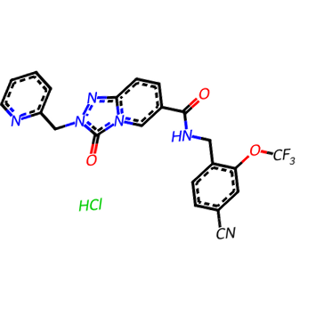 Cl.N#Cc1ccc(CNC(=O)c2ccc3nn(Cc4ccccn4)c(=O)n3c2)c(OC(F)(F)F)c1